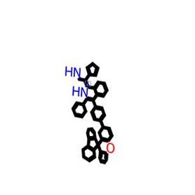 N=C/C(C1=CCC=C1)=C1\NC(C2C=CC=CC2)=C(c2ccc(C3C=CC4=C(C3)C3(C5=C(CCC=C5)C5=C3C=CCC5)c3ccccc3O4)cc2)c2ccccc21